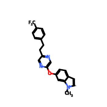 Cn1[c]cc2ccc(Oc3cnc(CCc4ccc(C(F)(F)F)cc4)cn3)cc21